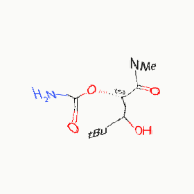 CNC(=O)[C@@H](OC(N)=O)C(O)C(C)(C)C